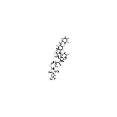 CNC(C)(C)C=C(C#N)C(=O)N1CCCC(NC(=O)c2sc3nccc4c3c2NC(=O)N4c2ccc(Oc3ccccc3)cc2C)C1